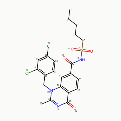 CCCCCS(=O)(=O)NC(=O)c1ccc2c(=O)nc(C)n(Cc3ccc(Cl)cc3Cl)c2c1